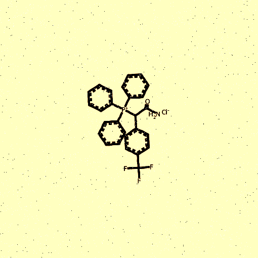 NC(=O)C(c1ccc(C(F)(F)F)cc1)[P+](c1ccccc1)(c1ccccc1)c1ccccc1.[Cl-]